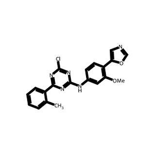 COc1cc(Nc2nc(Cl)nc(-c3ccccc3C)n2)ccc1-c1cnco1